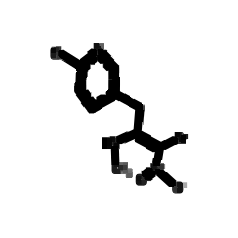 CNC(Cc1ccc(Cl)nc1)=C(Br)[N+](=O)[O-]